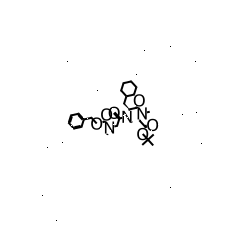 CN(CC(=O)N(C)[C@@H](CC1CCCCC1)C(=O)N(C)CC(=O)OC(C)(C)C)C(=O)OCc1ccccc1